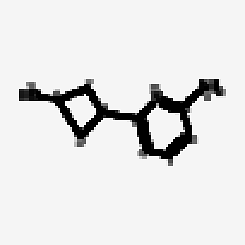 Nc1cccc(C2CC(O)C2)n1